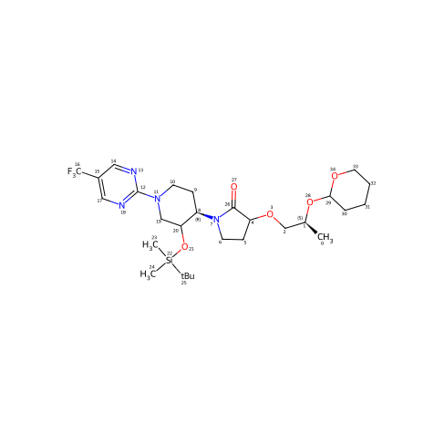 C[C@@H](COC1CCN([C@@H]2CCN(c3ncc(C(F)(F)F)cn3)CC2O[Si](C)(C)C(C)(C)C)C1=O)OC1CCCCO1